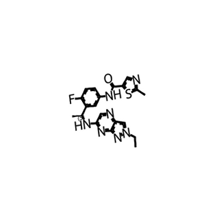 CCn1cc2ncc(N[C@@H](C)c3cc(NC(=O)c4cnc(C)s4)ccc3F)nc2n1